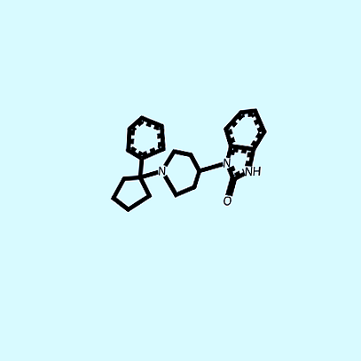 O=c1[nH]c2ccccc2n1C1CCN(C2(c3ccccc3)CCCC2)CC1